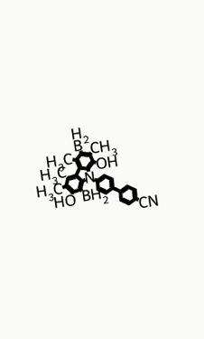 Bc1c(C)c(O)c2c(c1C)c1c(C)c(C)c(O)c(B)c1n2-c1ccc(-c2ccc(C#N)cc2)cc1